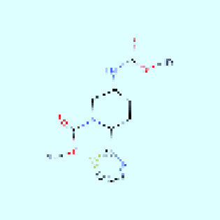 CCCCOC(=O)N1CC(NC(=O)OC(C)C)CCC1c1nccs1